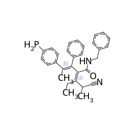 CC/C(=C(C(=O)NCc1ccccc1)\C(=C(/C)c1ccc(P)cc1)c1ccccc1)C(C)C#N